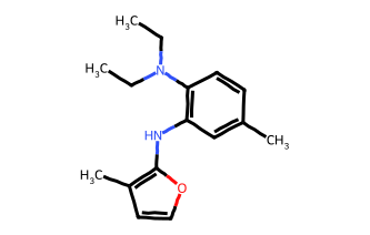 CCN(CC)c1ccc(C)cc1Nc1occc1C